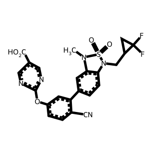 CN1c2cc(-c3cc(Oc4ncc(C(=O)O)cn4)ccc3C#N)ccc2N(CC2CC2(F)F)S1(=O)=O